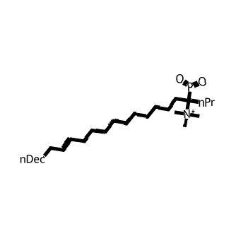 CCCCCCCCCCCC=CCCCCCCCCCCC(CCC)(P(=O)=O)[N+](C)(C)C